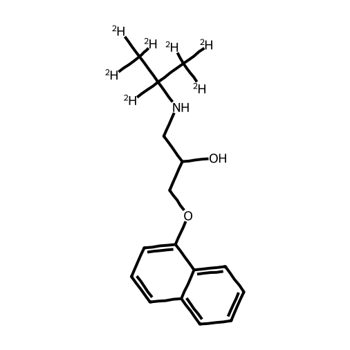 [2H]C([2H])([2H])C([2H])(NCC(O)COc1cccc2ccccc12)C([2H])([2H])[2H]